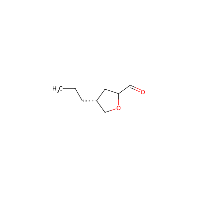 CCC[C@H]1COC(C=O)C1